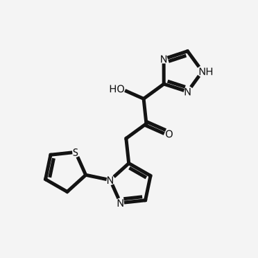 O=C(Cc1ccnn1C1CC=CS1)C(O)c1nc[nH]n1